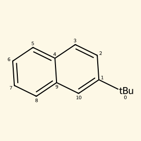 [CH2]C(C)(C)c1ccc2ccccc2c1